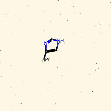 CCCc1[c][nH]cn1